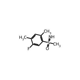 Cc1cc(C)c(S(C)(=N)=O)cc1F